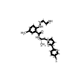 Cc1ccc(N/N=C\C=N)c(C(=O)N[C@@H](C)Cn2ccc(-c3ccc(F)cn3)n2)c1